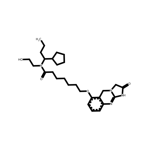 CCCC(C1CCCC1)N(CCO)C(=O)CCCCCCOc1cccc2c1CN1CC(=O)NC1=N2